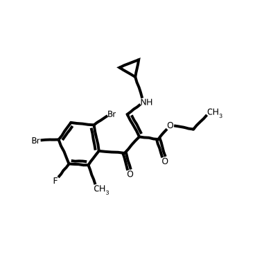 CCOC(=O)C(=CNC1CC1)C(=O)c1c(Br)cc(Br)c(F)c1C